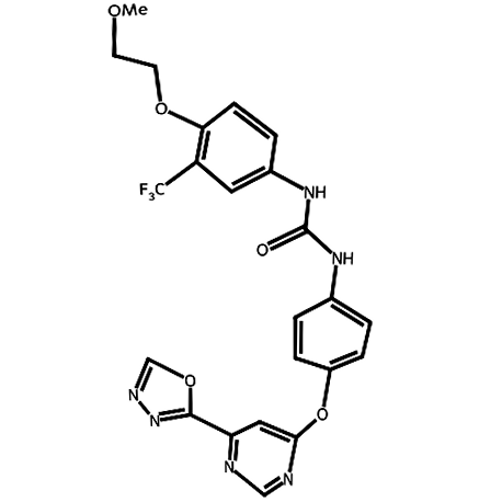 COCCOc1ccc(NC(=O)Nc2ccc(Oc3cc(-c4nnco4)ncn3)cc2)cc1C(F)(F)F